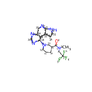 CN(CC(F)(F)F)C(=O)C1CCCN(c2ncnc3cnc4[nH]ccc4c23)C1